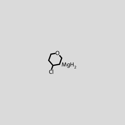 ClC1CCOCC1.[MgH2]